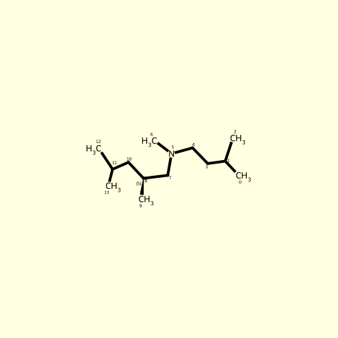 CC(C)CCN(C)C[C@@H](C)CC(C)C